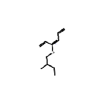 C=C/C=C(\C=C)OCC(C)CC